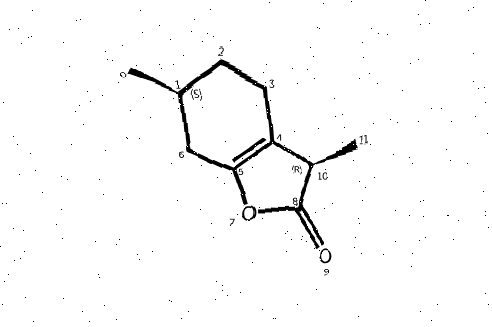 C[C@H]1CCC2=C(C1)OC(=O)[C@@H]2C